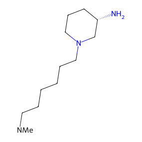 CNCCCCCCN1CCC[C@H](N)C1